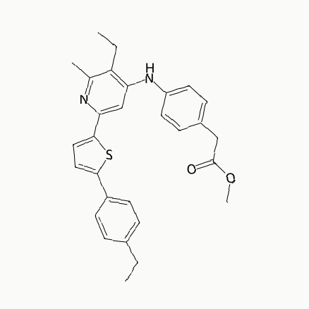 CCc1ccc(-c2ccc(-c3cc(Nc4ccc(CC(=O)OC)cc4)c(CC)c(C)n3)s2)cc1